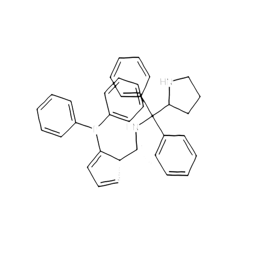 C[C@@H](NC(c1ccccc1)(c1ccccc1)C1CCCN1)[C@@H]1C=CC=C1P(c1ccccc1)c1ccccc1